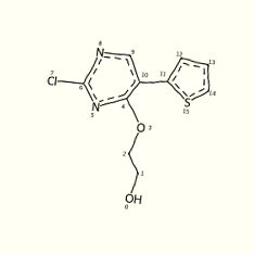 OCCOc1nc(Cl)ncc1-c1cccs1